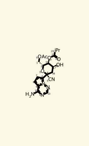 CC(=O)OC[C@H]1O[C@@](C#N)(c2ccc3c(N)ncnn23)C[C@H](O)[C@@H]1OC(=O)C(C)C